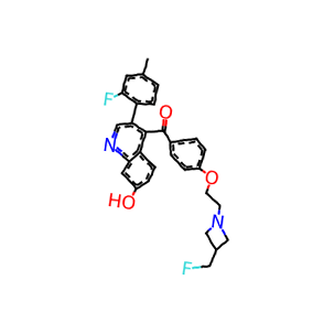 Cc1ccc(-c2cnc3cc(O)ccc3c2C(=O)c2ccc(OCCN3CC(CF)C3)cc2)c(F)c1